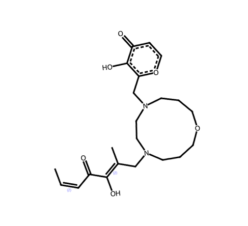 C/C=C\C(=O)/C(O)=C(\C)CN1CCCOCCCN(Cc2occc(=O)c2O)CC1